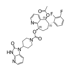 CC(=O)O[C@@H]1c2cccnc2[C@H](OC(=O)N2CCC(n3c(=O)[nH]c4ncccc43)CC2)CC[C@H]1c1cccc(F)c1F